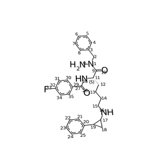 NN(Cc1ccccc1)C(=O)[C@H](CCCCNC1CC1c1ccccc1)NC(=O)c1ccc(F)cc1